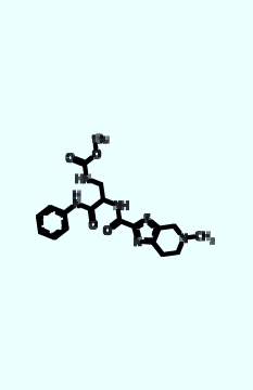 CN1CCc2nc(C(=O)NC(CNC(=O)OC(C)(C)C)C(=O)Nc3ccccc3)sc2C1